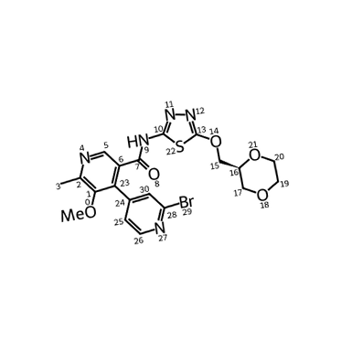 COc1c(C)ncc(C(=O)Nc2nnc(OC[C@@H]3COCCO3)s2)c1-c1ccnc(Br)c1